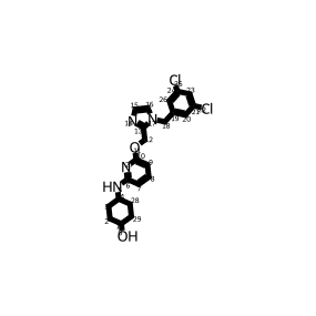 OC1CCC(Nc2cccc(OCc3nccn3Cc3cc(Cl)cc(Cl)c3)n2)CC1